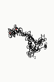 CC[C@@H]1C(=O)N(C)c2cnc(Nc3ccc(C(=O)NC4CCN(CCOCCN(CC(=O)Nc5cccc6c5CN(C5CCC(=O)NC5=O)C6=O)C(=O)OCc5ccc(NC(=O)[C@H](CCCNC(N)=O)NC(=O)[C@@H](NC(=O)CCCCCN6C(=O)CC(C)C6=O)C(C)C)cc5)CC4)cc3OC)nc2N1C1CCCC1